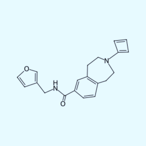 O=C(NCc1ccoc1)c1ccc2c(c1)CCN(C1=CC=C1)CC2